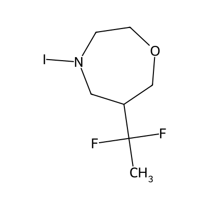 CC(F)(F)C1COCCN(I)C1